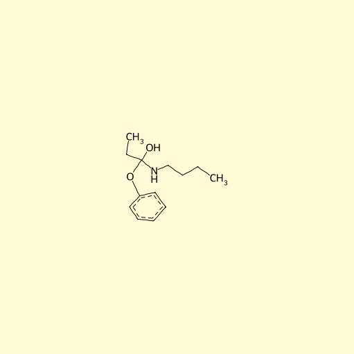 CCCCNC(O)(CC)Oc1ccccc1